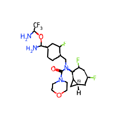 NC(OC(N)C(F)(F)F)C1CCC(CN(C(=O)N2CCOCC2)C2C(F)CC(F)C[C@@H]3CC23)C(F)C1